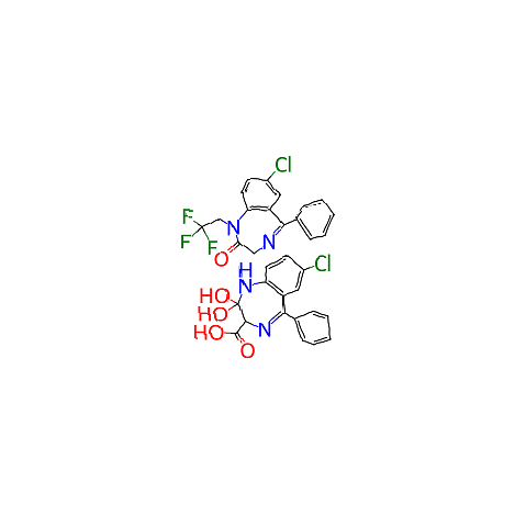 O=C(O)C1N=C(c2ccccc2)c2cc(Cl)ccc2NC1(O)O.O=C1CN=C(c2ccccc2)c2cc(Cl)ccc2N1CC(F)(F)F